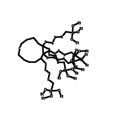 CCO[Si](CSSSSC1CCCCCCCCCC(SSSSC[Si](OCC)(OCC)OCC)(SSSSC[Si](OCC)(OCC)OCC)C1(SSSSC[Si](OCC)(OCC)OCC)SSSSC[Si](OCC)(OCC)OCC)(OCC)OCC